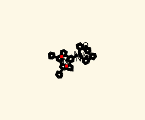 c1ccc(-c2ccc3c(c2)c2cc(-c4ccccc4)ccc2n3-c2c(-c3ccccc3)cc(-c3nc(-c4cccc5c4oc4ccccc45)nc(-c4cccc5oc6ccccc6c45)n3)cc2-c2ccccc2)cc1